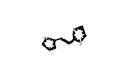 C(=C\c1ncc[nH]1)/c1ccc[nH]1